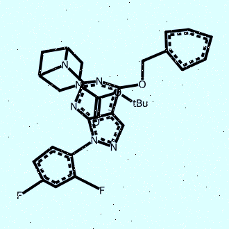 CC(C)(C)OC(=O)N1CC2CC(C1)N2c1nc(OCc2ccccc2)c2cnn(-c3ccc(F)cc3F)c2n1